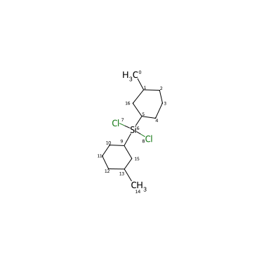 CC1CCCC([Si](Cl)(Cl)C2CCCC(C)C2)C1